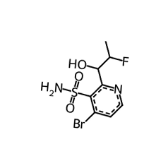 CC(F)C(O)c1nccc(Br)c1S(N)(=O)=O